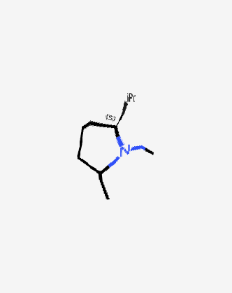 CC(C)[C@@H]1CCC(C)N1C